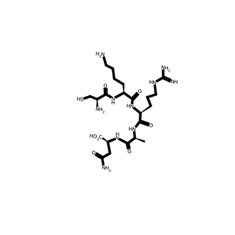 C[C@H](NC(=O)[C@H](CCCNC(=N)N)NC(=O)[C@H](CCCCN)NC(=O)[C@@H](N)CS)C(=O)N[C@@H](CC(N)=O)C(=O)O